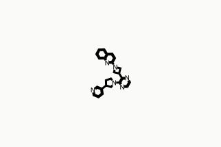 c1cncc(C2CCN(c3nccnc3C3CN(c4ccc5ccccc5n4)C3)C2)c1